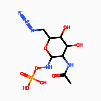 CC(=O)NC1C(NOP(=O)(O)O)OC(CN=[N+]=[N-])C(O)C1O